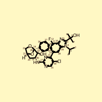 CC(C)n1c(C(C)(C)O)nc2c(F)cc(-c3nc(N[C@@H]4C[C@H]5CO[C@](c6ccccc6)(O5)[C@H]4O)ncc3Cl)cc21